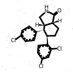 O=C1NC[C@H]2[C@@H](c3ccc(Cl)cc3)[C@H](c3ccc(Cl)cc3Cl)CC[C@@H]12